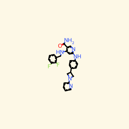 NC(=O)c1cnc(Nc2ccc(C3CN(c4ccccn4)C3)cc2)cc1NCc1cccc(F)c1F